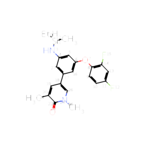 CC[SiH](C)Nc1cc(Oc2ccc(F)cc2F)cc(-c2cc(C)c(=O)n(C)c2)c1